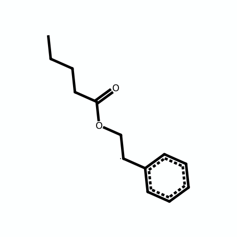 CCCCC(=O)OC[CH]c1ccccc1